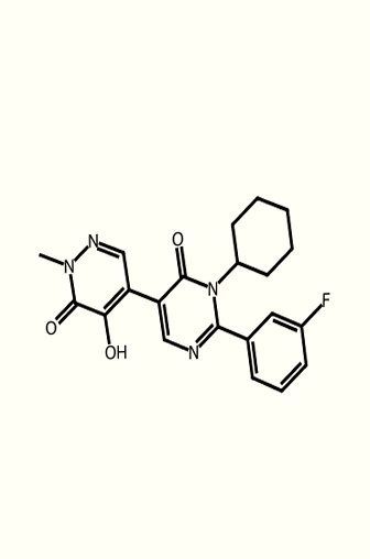 Cn1ncc(-c2cnc(-c3cccc(F)c3)n(C3CCCCC3)c2=O)c(O)c1=O